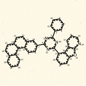 c1ccc(-c2nc(-c3ccc4c(ccc5ccc6ccccc6c54)c3)nc(-c3cccc4oc5ncccc5c34)n2)cc1